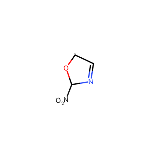 O=[N+]([O-])C1N=C[CH]O1